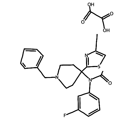 CC(=O)N(c1cccc(F)c1)C1(c2nc(C)cs2)CCN(Cc2ccccc2)CC1.O=C(O)C(=O)O